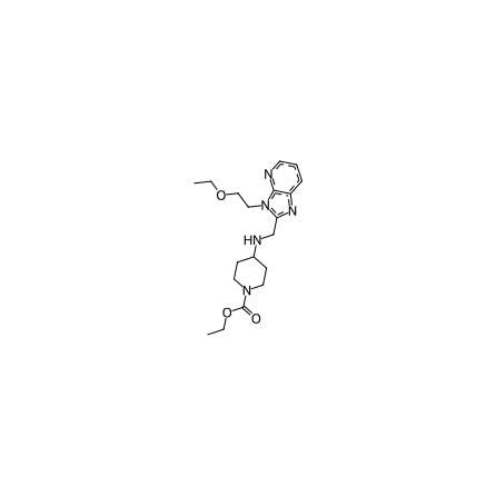 CCOCCn1c(CNC2CCN(C(=O)OCC)CC2)nc2cccnc21